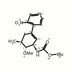 CO[C@@H]1[C@@H](C)CC(c2ccncc2[N+](=O)[O-])=C[C@H]1NC(=O)OC(C)(C)C